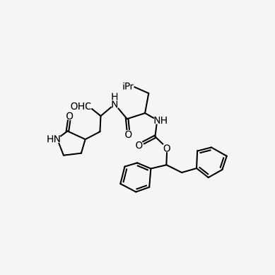 CC(C)CC(NC(=O)OC(Cc1ccccc1)c1ccccc1)C(=O)NC(C=O)CC1CCNC1=O